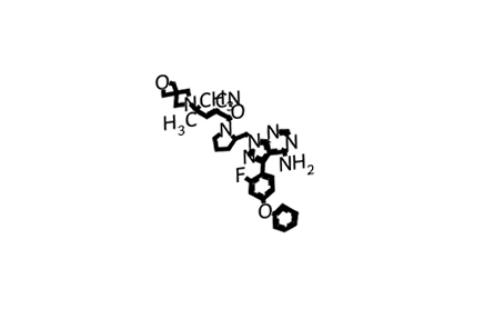 CC(C)(C=C(C#N)C(=O)N1CCCC1Cn1nc(-c2ccc(Oc3ccccc3)cc2F)c2c(N)ncnc21)N1CC2(COC2)C1